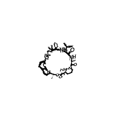 CC(C)[C@@H]1NC(=O)C(C)(C)COc2ccc3ccc(nc3c2)[C@@H](C)OC(=O)[C@@H]2CCCN(N2)C(=O)[C@H](C)NC1=O